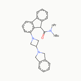 CCCCN(CCC)C(=O)C1c2ccccc2-c2cccc(N3CC(N4Cc5ccccc5C4)C3)c21